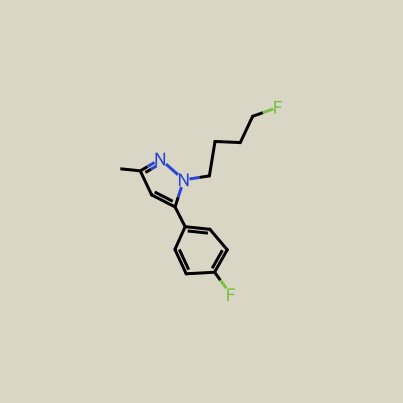 Cc1cc(-c2ccc(F)cc2)n(CCCCF)n1